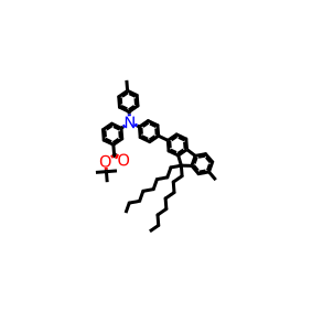 CCCCCCCCC1(CCCCCCCC)c2cc(C)ccc2-c2ccc(-c3ccc(N(c4ccc(C)cc4)c4cccc(C(=O)OC(C)(C)C)c4)cc3)cc21